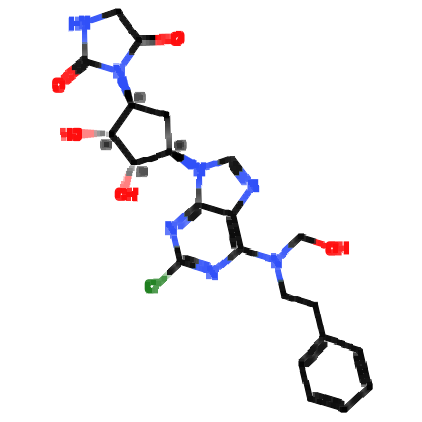 O=C1CNC(=O)N1[C@H]1C[C@@H](n2cnc3c(N(CO)CCc4ccccc4)nc(Cl)nc32)[C@H](O)[C@@H]1O